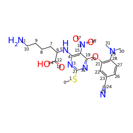 CSc1nc(NC(CCCCN)C(=O)O)c([N+](=O)[O-])c(Oc2cc(C#N)ccc2N(C)C)n1